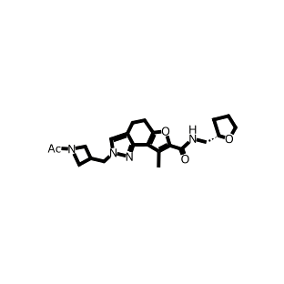 CC(=O)N1CC(Cn2cc3c(n2)-c2c(oc(C(=O)NC[C@@H]4CCCO4)c2C)CC3)C1